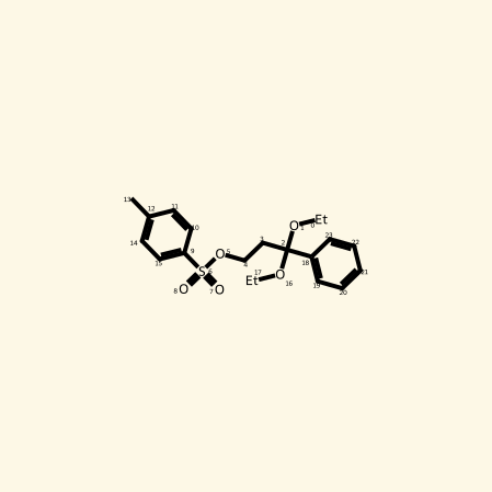 CCOC(CCOS(=O)(=O)c1ccc(C)cc1)(OCC)c1ccccc1